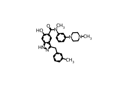 Cc1cccc(Cc2n[nH]c3cc(O)c(C(=O)N(C)c4cccc(N5CCN(C)CC5)c4)cc23)c1